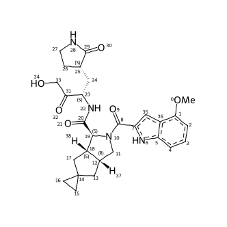 COc1cccc2[nH]c(C(=O)N3C[C@@H]4CC5(CC5)C[C@@H]4[C@H]3C(=O)N[C@@H](C[C@@H]3CCNC3=O)C(=O)CO)cc12